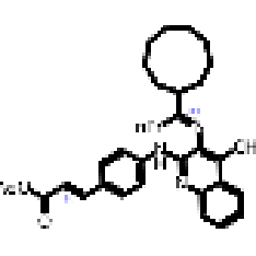 CCC/C(=N\c1c(Nc2ccc(/C=C/C(=O)OC)cc2)nc2ccccc2c1C)C1CCCCCCCC1